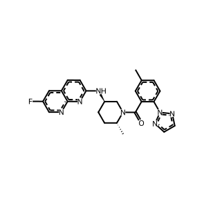 Cc1ccc(-n2nccn2)c(C(=O)N2C[C@H](Nc3ccc4cc(F)cnc4n3)CC[C@H]2C)c1